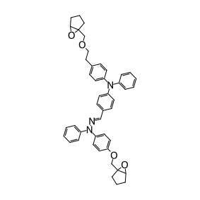 C(=NN(c1ccccc1)c1ccc(OCC23CCCC2O3)cc1)c1ccc(N(c2ccccc2)c2ccc(CCOCC34CCCC3O4)cc2)cc1